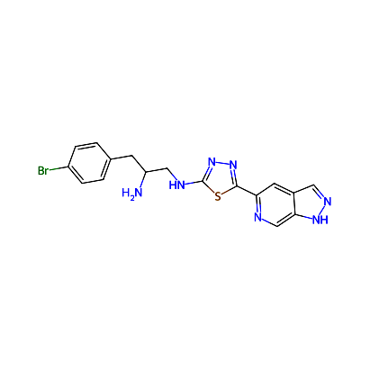 NC(CNc1nnc(-c2cc3cn[nH]c3cn2)s1)Cc1ccc(Br)cc1